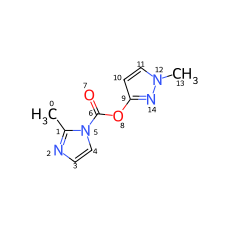 Cc1nccn1C(=O)Oc1ccn(C)n1